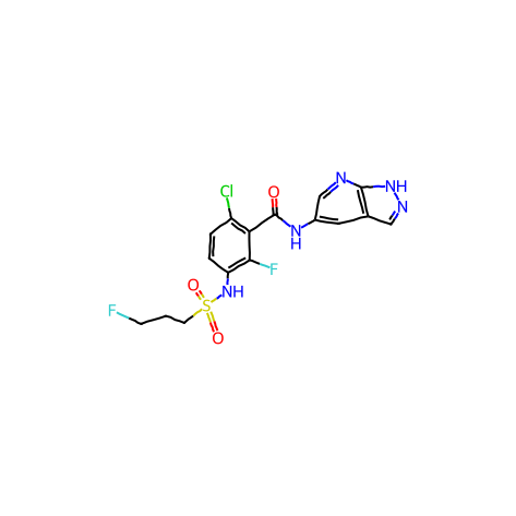 O=C(Nc1cnc2[nH]ncc2c1)c1c(Cl)ccc(NS(=O)(=O)CCCF)c1F